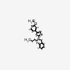 CCCCN(Cc1ccccc1F)c1nnc(-c2ccnc(OC)c2)s1